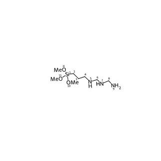 CO[Si](CCCNCNCN)(OC)OC